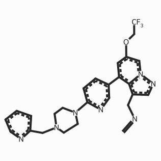 C=NCc1cnn2cc(OCC(F)(F)F)cc(-c3ccc(N4CCN(Cc5ccccn5)CC4)nc3)c12